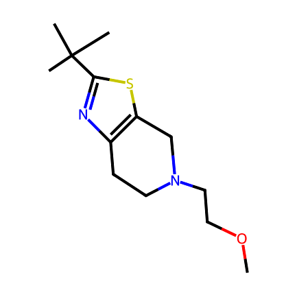 COCCN1CCc2nc(C(C)(C)C)sc2C1